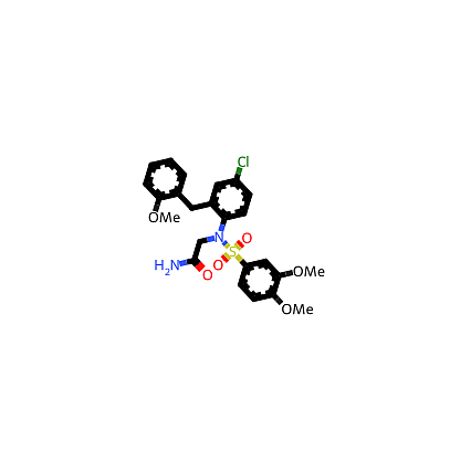 COc1ccccc1Cc1cc(Cl)ccc1N(CC(N)=O)S(=O)(=O)c1ccc(OC)c(OC)c1